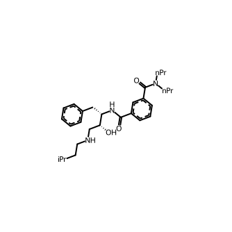 CCCN(CCC)C(=O)c1cccc(C(=O)N[C@@H](Cc2ccccc2)[C@H](O)CNCCC(C)C)c1